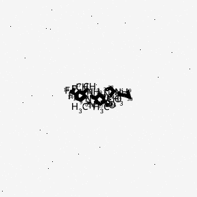 Cc1nc(N[C@H](C)c2cccc(C(F)(F)F)c2C)c2cc(N3CC[C@H](NC(=O)C4CC4)C3)c(P(C)(C)=O)cc2n1